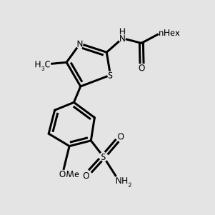 CCCCCCC(=O)Nc1nc(C)c(-c2ccc(OC)c(S(N)(=O)=O)c2)s1